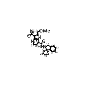 COCc1nn2c(C(=O)NC3Cc4ccccc4C34SCCS4)ccnc2c1C(N)=O